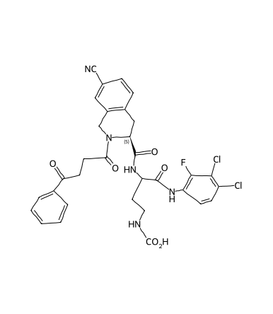 N#Cc1ccc2c(c1)CN(C(=O)CCC(=O)c1ccccc1)[C@H](C(=O)NC(CCNC(=O)O)C(=O)Nc1ccc(Cl)c(Cl)c1F)C2